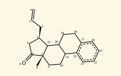 C=CC[C@@H]1CC(=O)[C@@]2(C)CCC3c4ccccc4CCC3C12